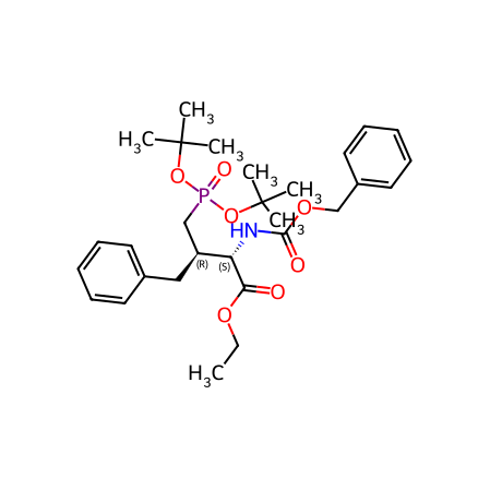 CCOC(=O)[C@@H](NC(=O)OCc1ccccc1)[C@@H](Cc1ccccc1)CP(=O)(OC(C)(C)C)OC(C)(C)C